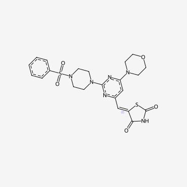 O=C1NC(=O)/C(=C/c2cc(N3CCOCC3)nc(N3CCN(S(=O)(=O)c4ccccc4)CC3)n2)S1